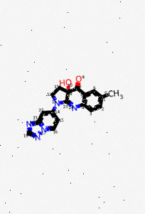 Cc1ccc2c(c1)C(=O)C1(O)CCN(c3ccn4ncnc4c3)C1=N2